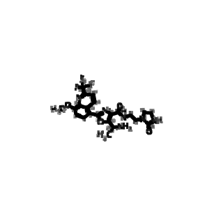 COc1ccc(-c2nc(C(=O)NCCN3CCNC3=O)c([C@H](C)N)o2)c2ccc(C(F)(F)F)nc12